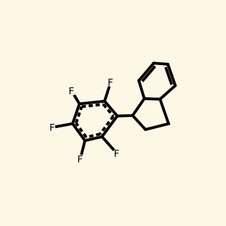 Fc1c(F)c(F)c(C2CCC3C=CC=CC32)c(F)c1F